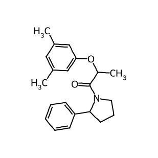 Cc1cc(C)cc(OC(C)C(=O)N2CCCC2c2ccccc2)c1